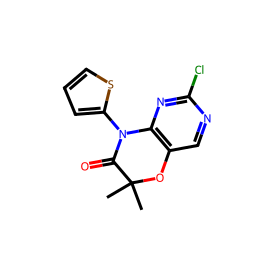 CC1(C)Oc2cnc(Cl)nc2N(c2cccs2)C1=O